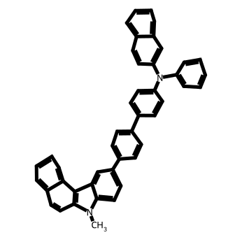 Cn1c2ccc(-c3ccc(-c4ccc(N(c5ccccc5)c5ccc6ccccc6c5)cc4)cc3)cc2c2c3ccccc3ccc21